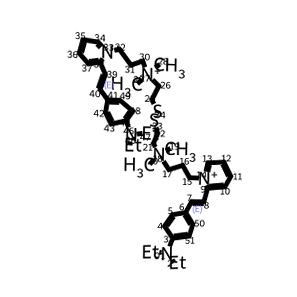 CCN(CC)c1ccc(/C=C/c2cccc[n+]2CCC[N+](C)(C)CCSSCC[N+](C)(C)CCC[n+]2ccccc2/C=C/c2ccc(N(CC)CC)cc2)cc1